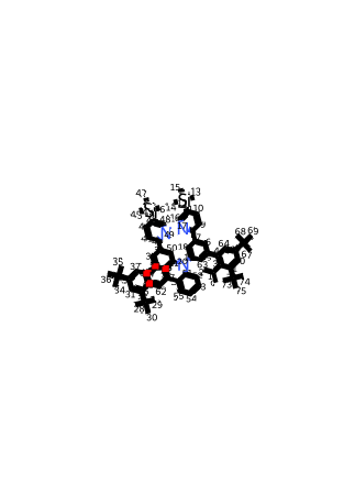 CC(C)c1c(-c2cc(-c3ccc([Si](C)(C)C)cn3)cc(N(c3cc(-c4cc(C(C)(C)C)cc(C(C)(C)C)c4)cc(-c4ccc([Si](C)(C)C)cn4)c3)c3ccccc3-c3ccccc3)c2)cc(C(C)(C)C)cc1C(C)(C)C